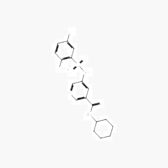 COc1ccc(Cl)cc1S(=O)(=O)Nc1cncc(C(=O)NC2CCCCC2)c1